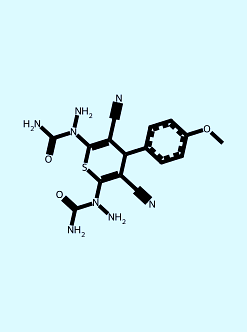 COc1ccc(C2C(C#N)=C(N(N)C(N)=O)SC(N(N)C(N)=O)=C2C#N)cc1